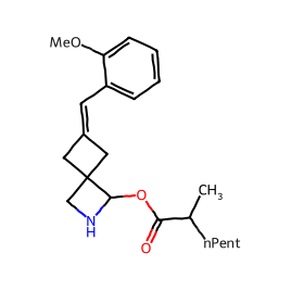 CCCCCC(C)C(=O)OC1NCC12CC(=Cc1ccccc1OC)C2